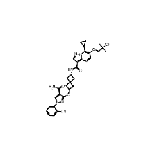 CC(C)(O)COc1ccc2c(C(=O)N[C@H]3CC4(C3)C[C@H](Oc3nn(-c5ccccc5C#N)cc3C(N)=O)C4)cnn2c1C1CC1